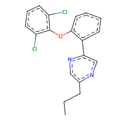 CCCc1cnc(-c2ccccc2Oc2c(Cl)cccc2Cl)cn1